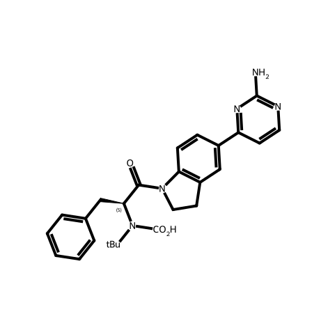 CC(C)(C)N(C(=O)O)[C@@H](Cc1ccccc1)C(=O)N1CCc2cc(-c3ccnc(N)n3)ccc21